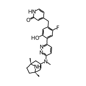 CN(c1ccc(-c2cc(F)c(Cc3cc[nH]c(=O)c3)cc2O)nn1)C1C[C@]2(C)CC[C@](C)(C1)N2